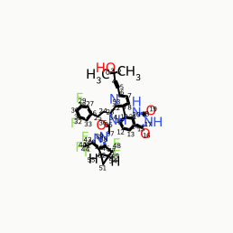 CC(C)(O)C#Cc1ccc(-c2cccc3c(=O)[nH]c(=O)[nH]c23)c([C@H](CCc2cc(F)cc(F)c2)NC(=O)Cn2nc(C(F)(F)F)c3c2C(F)(F)[C@@H]2C[C@H]32)n1